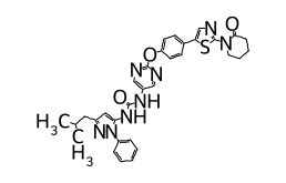 CC(C)Cc1cc(NC(=O)Nc2cnc(Oc3ccc(-c4cnc(N5CCCCC5=O)s4)cc3)nc2)n(-c2ccccc2)n1